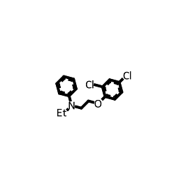 CCN(CCOc1ccc(Cl)cc1Cl)c1ccccc1